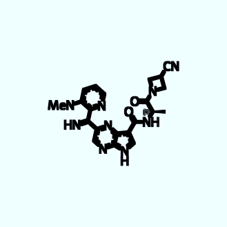 CNc1cccnc1C(=N)c1cnc2[nH]cc(C(=O)N[C@H](C)C(=O)N3CC(C#N)C3)c2n1